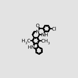 Cc1c2c(c(C)c3c1[nH]c1ccccc13)C1Nc3cc(Cl)ccc3C(=O)N1C=C2